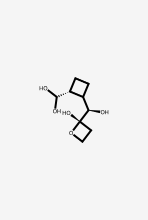 OC(O)[C@@H]1CCC1[C@@H](O)[C@]1(O)CCO1